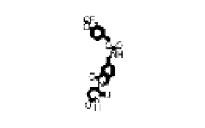 O=C1CCC(N2Cc3ccc(CNC(=O)OCc4ccc(OC(F)(F)F)cc4)cc3C2=O)C(=O)N1